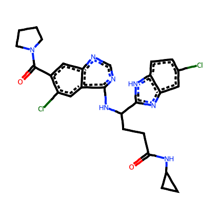 O=C(CCC(Nc1ncnc2cc(C(=O)N3CCCC3)c(Cl)cc12)c1nc2cc(Cl)ccc2[nH]1)NC1CC1